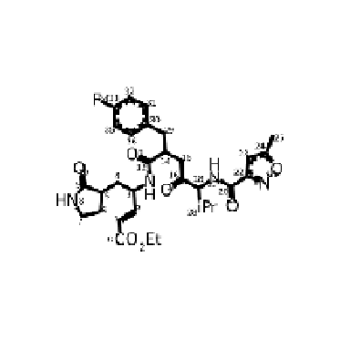 CCOC(=O)C=CC(CC1CCNC1=O)NC(=O)C(CC(=O)C(NC(=O)c1cc(C)on1)C(C)C)Cc1ccc(F)cc1